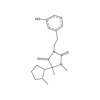 CC1CCCC1C1(C)C(=O)N(CCc2cccc(O)c2)C(=O)N1C